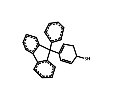 SC1C=CC(C2(c3ccccc3)c3ccccc3-c3ccccc32)=CC1